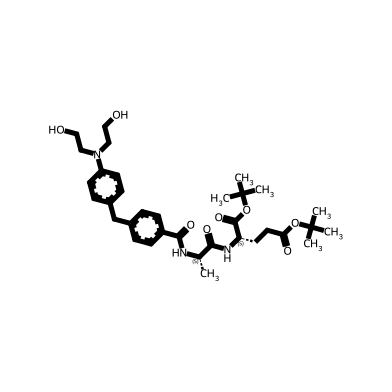 C[C@H](NC(=O)c1ccc(Cc2ccc(N(CCO)CCO)cc2)cc1)C(=O)N[C@@H](CCC(=O)OC(C)(C)C)C(=O)OC(C)(C)C